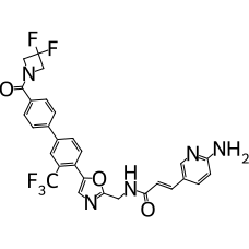 Nc1ccc(C=CC(=O)NCc2ncc(-c3ccc(-c4ccc(C(=O)N5CC(F)(F)C5)cc4)cc3C(F)(F)F)o2)cn1